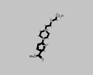 COC(=O)c1ccc(N2CCN(CCOCC(=O)O)CC2)nc1